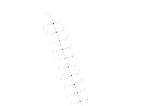 CC(=O)C(F)(F)C(F)(F)C(F)(F)C(F)(F)C(F)(F)C(F)(F)C(F)(F)C(F)(F)C(F)(F)C(C)(F)F